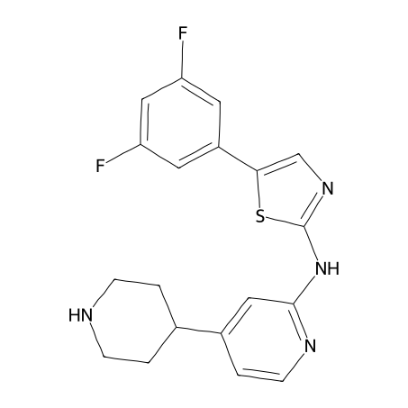 Fc1cc(F)cc(-c2cnc(Nc3cc(C4CCNCC4)ccn3)s2)c1